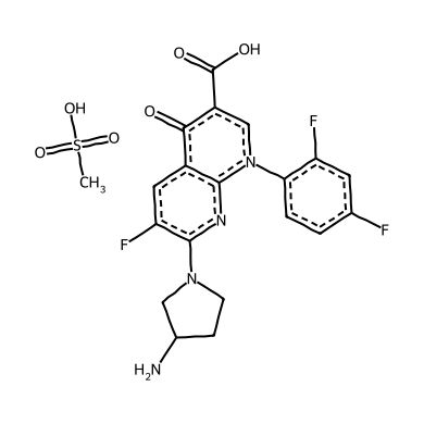 CS(=O)(=O)O.NC1CCN(c2nc3c(cc2F)c(=O)c(C(=O)O)cn3-c2ccc(F)cc2F)C1